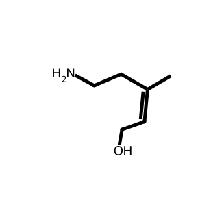 CC(=CCO)CCN